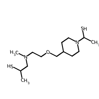 CC(S)CN(C)CCOCC1CCN(C(C)S)CC1